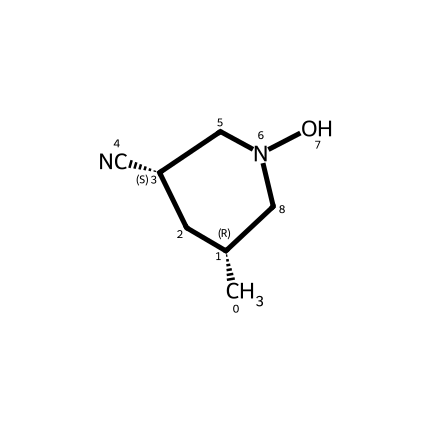 C[C@@H]1C[C@H](C#N)CN(O)C1